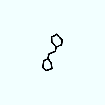 [CH](CC1CCCCC1)C1CCCCC1